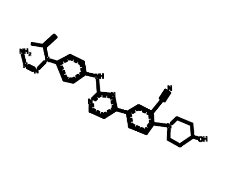 C=C(C)N(/N=N\N)c1ccc(Nc2nccc(-c3ccc(N4CCC(O)CC4)c(C#N)c3)n2)cc1